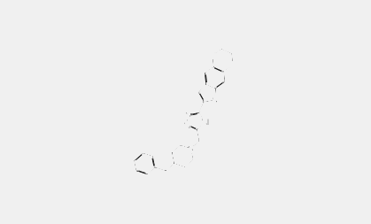 c1ccc(CC2CCN(Cc3nnc(-c4cc5cc6c(cc5[nH]4)OCCO6)[nH]3)CC2)cc1